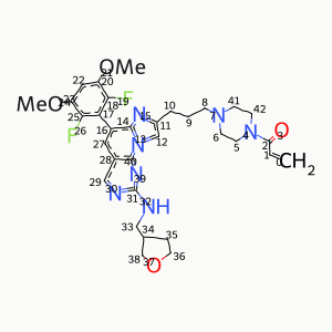 C=CC(=O)N1CCN(CCCc2cn3c(n2)c(-c2c(F)c(OC)cc(OC)c2F)cc2cnc(NCC4CCOC4)nc23)CC1